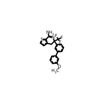 COc1cccc(-c2cccc(C3(C(F)(F)F)Cc4ccsc4C(N)=N3)c2)c1